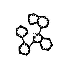 c1ccc(-c2ccccc2-c2oc(-c3cccc4ccccc34)c3ccccc23)cc1